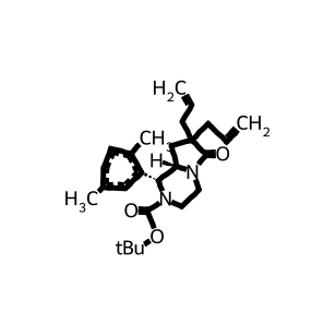 C=CCC1(CC=C)C[C@H]2[C@@H](c3cc(C)ccc3C)N(C(=O)OC(C)(C)C)CCN2C1=O